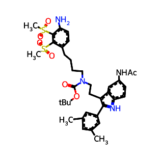 CC(=O)Nc1ccc2[nH]c(-c3cc(C)cc(C)c3)c(CCN(CCCCc3ccc(N)c(S(C)(=O)=O)c3S(C)(=O)=O)C(=O)OC(C)(C)C)c2c1